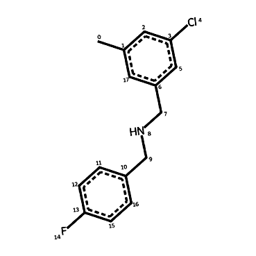 Cc1cc(Cl)cc(CNCc2ccc(F)cc2)c1